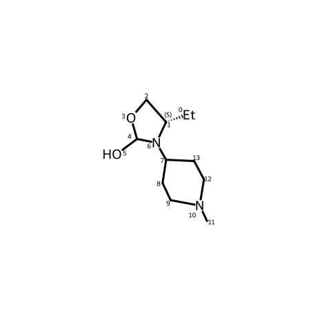 CC[C@H]1COC(O)N1C1CCN(C)CC1